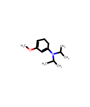 COC1=CCCC(N(C(C)C)C(C)C)=C1